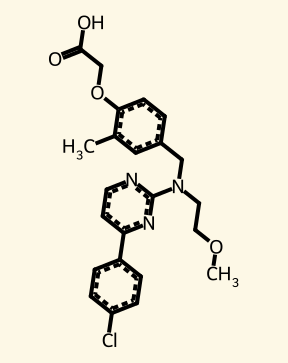 COCCN(Cc1ccc(OCC(=O)O)c(C)c1)c1nccc(-c2ccc(Cl)cc2)n1